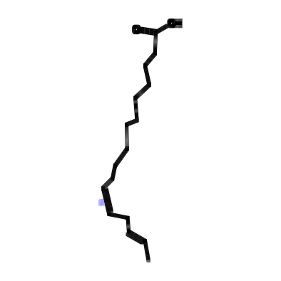 CC=CC/C=C\CCCCCCCCCC(=O)O